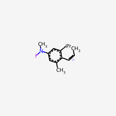 C/C=C\c1c(C)cc(N(C)I)cc1C(C)C